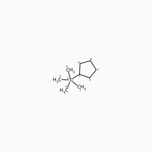 [CH3][Ti]([CH3])([CH3])([CH3])[CH]1CCCC1